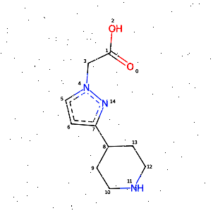 O=C(O)Cn1ccc(C2CCNCC2)n1